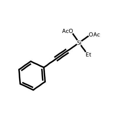 CC[Si](C#Cc1ccccc1)(OC(C)=O)OC(C)=O